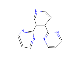 [c]1nccc(-c2ncccn2)c1-c1ncccn1